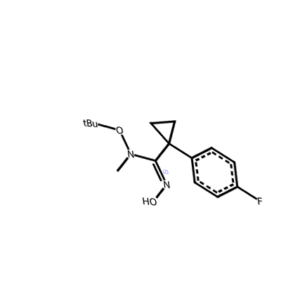 CN(OC(C)(C)C)/C(=N\O)C1(c2ccc(F)cc2)CC1